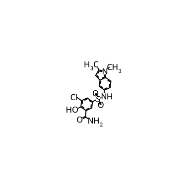 Cc1cc2cc(NS(=O)(=O)c3cc(Cl)c(O)c(C(N)=O)c3)ccc2n1C